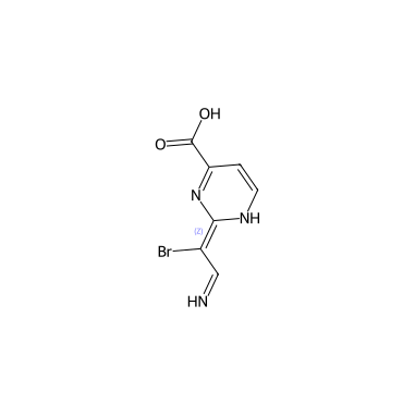 N=C/C(Br)=C1/N=C(C(=O)O)C=CN1